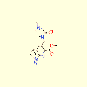 COC(OC)c1nc2c(cc1CN1CCN(C)CC1=O)C1CC(C1)N2